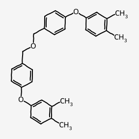 Cc1ccc(Oc2ccc(COCc3ccc(Oc4ccc(C)c(C)c4)cc3)cc2)cc1C